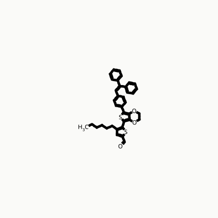 CCCCCCc1cc(C=O)sc1-c1sc(-c2ccc(C=C(c3ccccc3)c3ccccc3)cc2)c2c1OCCO2